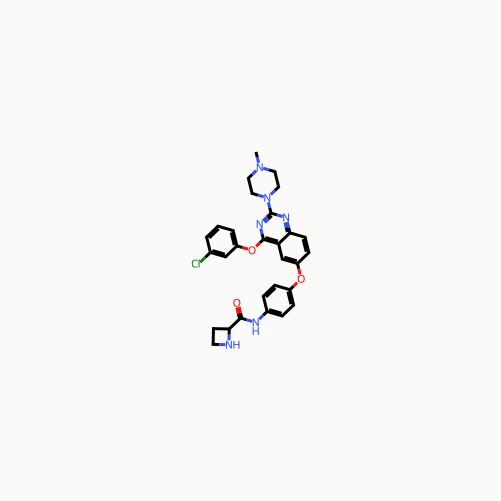 CN1CCN(c2nc(Oc3cccc(Cl)c3)c3cc(Oc4ccc(NC(=O)C5CCN5)cc4)ccc3n2)CC1